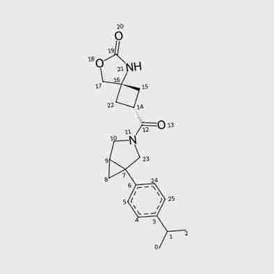 CC(C)c1ccc(C23CC2CN(C(=O)[C@H]2C[C@]4(COC(=O)N4)C2)C3)cc1